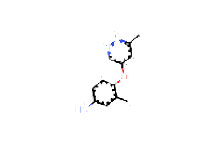 Cc1cc(Oc2ccc([NH])cc2C)cnn1